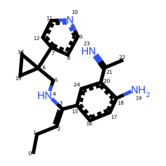 CC/C=C(\NCC1(c2ccncc2)CC1)c1ccc(N)c(C(C)=N)c1